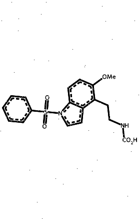 COc1ccc2c(ccn2S(=O)(=O)c2ccccc2)c1CCNC(=O)O